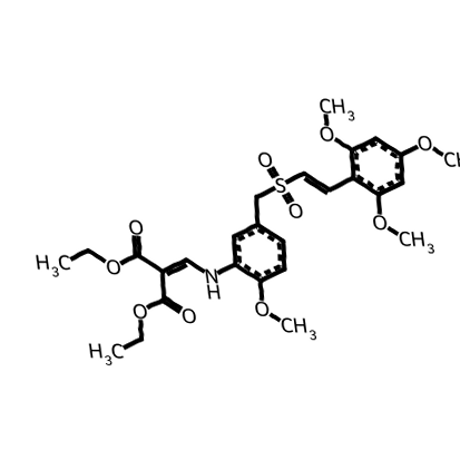 CCOC(=O)C(=CNc1cc(CS(=O)(=O)C=Cc2c(OC)cc(OC)cc2OC)ccc1OC)C(=O)OCC